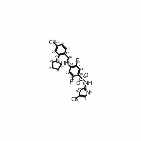 O=S(=O)(Nc1ncc(Cl)s1)c1cc(F)c(NCc2ccc(Cl)cc2N2CCCC2)cc1F